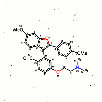 COc1ccc(-c2oc3cc(OC)ccc3c2-c2cc(OCCN(C(C)C)C(C)C)ccc2C=O)cc1